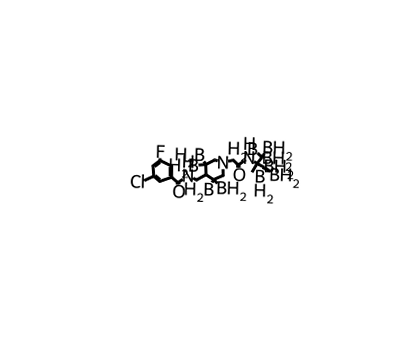 BC1(B)CN(CC(=O)NC(C)(C(B)(B)B)C(B)(B)B)CC(B)(B)C1CNC(=O)c1cc(F)cc(Cl)c1